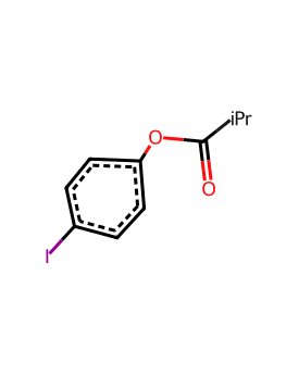 CC(C)C(=O)Oc1ccc(I)cc1